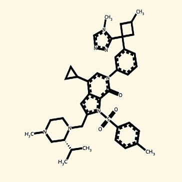 Cc1ccc(S(=O)(=O)n2c(CN3CCN(C)C[C@H]3C(C)C)cc3c(C4CC4)cn(-c4cccc(C5(c6nncn6C)CC(C)C5)c4)c(=O)c32)cc1